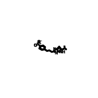 CC(C)c1cc2nc(CCCc3ccc([N+](=O)[O-])cc3)nn2[nH]1